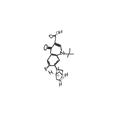 CC(C)(C)n1cc(C(=O)O)c(=O)c2cc(F)c(N3C[C@@H]4C[C@H]3CN4)cc21